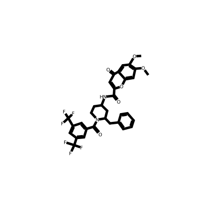 COc1cc2oc(C(=O)NC3CCN(C(=O)c4cc(C(F)(F)F)cc(C(F)(F)F)c4)C(Cc4ccccc4)C3)cc(=O)c2cc1OC